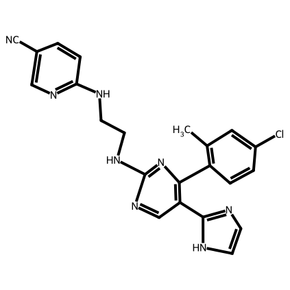 Cc1cc(Cl)ccc1-c1nc(NCCNc2ccc(C#N)cn2)ncc1-c1ncc[nH]1